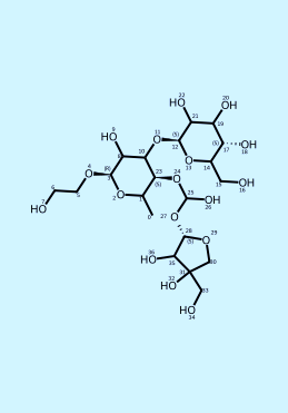 CC1O[C@@H](OCCO)C(O)C(O[C@@H]2OC(CO)[C@@H](O)C(O)C2O)[C@H]1OC(O)O[C@@H]1OCC(O)(CO)C1O